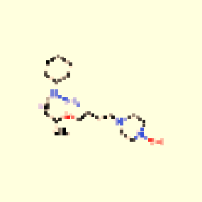 C=C(/C=C\N(N)C1CCCCC1)OCCCCN1CCN(O)CC1